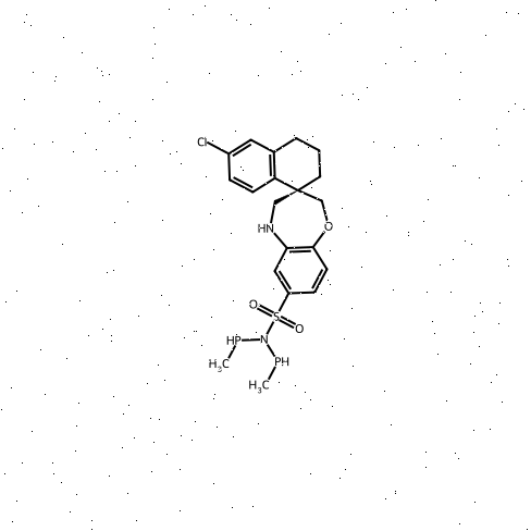 CPN(PC)S(=O)(=O)c1ccc2c(c1)NC[C@@]1(CCCc3cc(Cl)ccc31)CO2